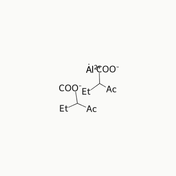 CCC(C(C)=O)C(=O)[O-].CCC(C(C)=O)C(=O)[O-].[Al+2]